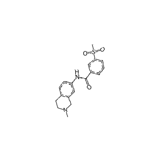 CN1CCc2ccc(NC(=O)c3cccc(S(C)(=O)=O)c3)cc2C1